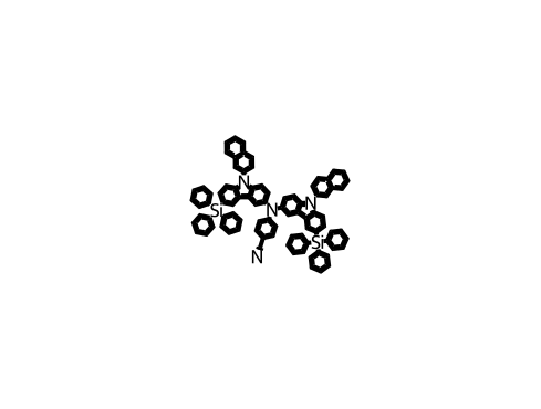 N#Cc1ccc(N(c2ccc3c(c2)c2cc([Si](c4ccccc4)(c4ccccc4)c4ccccc4)ccc2n3-c2ccc3ccccc3c2)c2ccc3c(c2)c2cc([Si](c4ccccc4)(c4ccccc4)c4ccccc4)ccc2n3-c2ccc3ccccc3c2)cc1